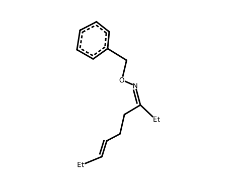 CC/C=C/CC/C(CC)=N\OCc1ccccc1